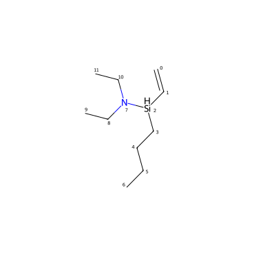 C=C[SiH](CCCC)N(CC)CC